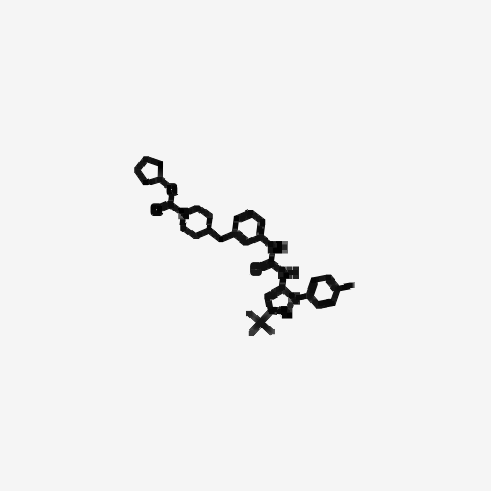 Cc1ccc(-n2nc(C(C)(C)C)cc2NC(=O)Nc2cccc(CC3CCN(C(=O)OC4CCCC4)CC3)c2)cc1